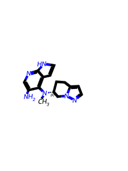 CN(c1c(N)cnc2[nH]ccc12)[C@@H]1CCc2ccnn2C1